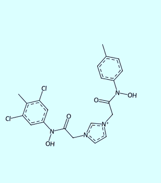 Cc1ccc(N(O)C(=O)C[n+]2ccn(CC(=O)N(O)c3cc(Cl)c(C)c(Cl)c3)c2)cc1